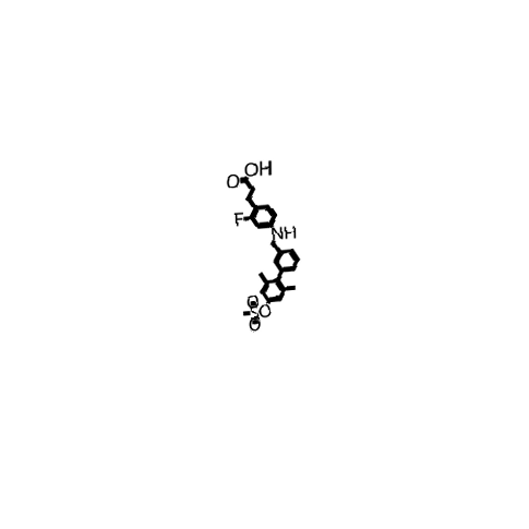 Cc1cc(OS(C)(=O)=O)cc(C)c1-c1cccc(CNc2ccc(CCC(=O)O)c(F)c2)c1